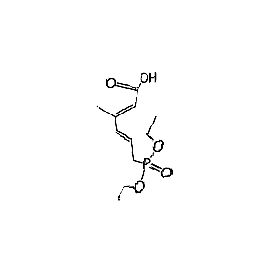 CCOP(=O)(CC=CC(C)=CC(=O)O)OCC